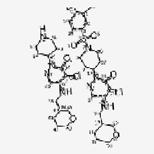 Cc1cc(S(=O)(=O)N2CCC(n3ncc(NCC4CCCOC4)c(Cl)c3=O)CC2)ccc1Br.O=c1c(Cl)c(NC[C@@H]2CCCOC2)cnn1C1CCNCC1